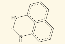 [C]1Nc2cccc3cccc(c23)N1